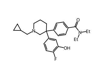 CCN(CC)C(=O)c1ccc(C2(c3ccc(F)c(O)c3)CCCN(CC3CC3)C2)cc1